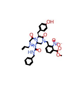 C=CCN1CC(=O)N2C(CN(Cc3cccc(C(=O)OC)c3[N+](=O)[O-])C(=O)[C@@H]2Cc2ccc(O)cc2)N1C(=O)NCc1ccccc1